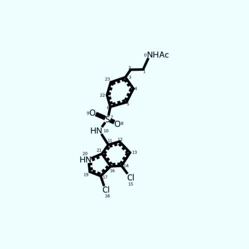 CC(=O)NCCc1ccc(S(=O)(=O)Nc2ccc(Cl)c3c(Cl)c[nH]c23)cc1